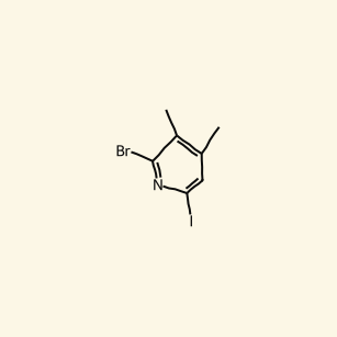 Cc1cc(I)nc(Br)c1C